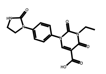 CCn1c(=O)c(C(=O)O)cn(-c2ccc(N3CCNC3=O)cc2)c1=O